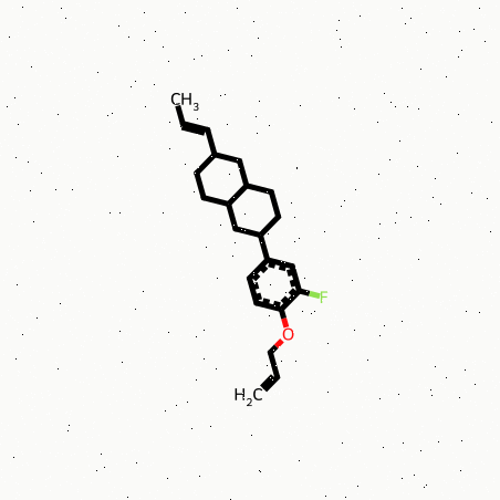 C=CCOc1ccc(C2CCC3CC(/C=C/C)CCC3C2)cc1F